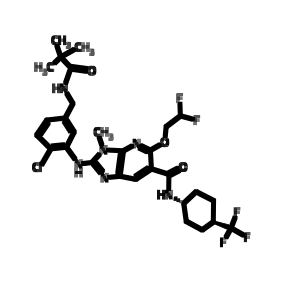 Cn1c(Nc2cc(CNC(=O)C(C)(C)C)ccc2Cl)nc2cc(C(=O)N[C@H]3CC[C@H](C(F)(F)F)CC3)c(OCC(F)F)nc21